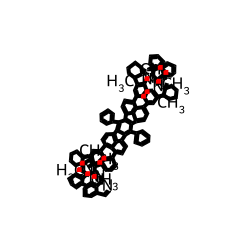 CC12CCCCC1(C)N(c1nccc3ccccc13)c1ccc(-c3ccc4c5c(-c6ccccc6)c6c7ccc(-c8ccc9c(c8)C8(C)CCCCC8(C)N9c8nccc9ccccc89)c8c(-c9ccc%10c(c9)C9(C)CCCCC9(C)N%10c9nccc%10ccccc9%10)ccc(c6c(-c6ccccc6)c5c5ccc(-c6ccc9c(c6)C6(C)CCCCC6(C)N9c6nccc9ccccc69)c3c45)c87)cc12